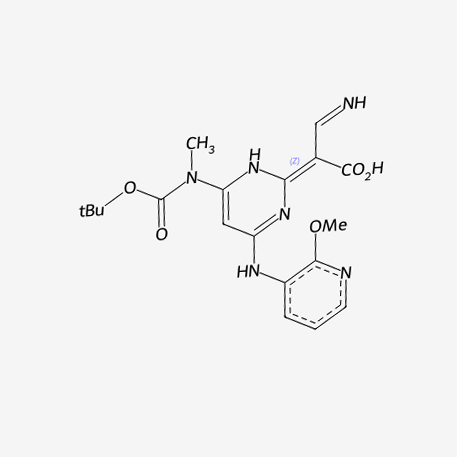 COc1ncccc1NC1=N/C(=C(/C=N)C(=O)O)NC(N(C)C(=O)OC(C)(C)C)=C1